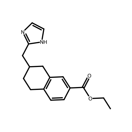 CCOC(=O)c1ccc2c(c1)CC(Cc1ncc[nH]1)CC2